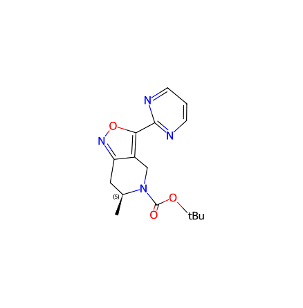 C[C@H]1Cc2noc(-c3ncccn3)c2CN1C(=O)OC(C)(C)C